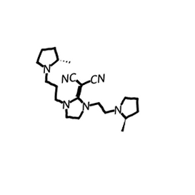 C[C@@H]1CCCN1CCN1CCN(CCCN2CCC[C@@H]2C)C1=C(C#N)C#N